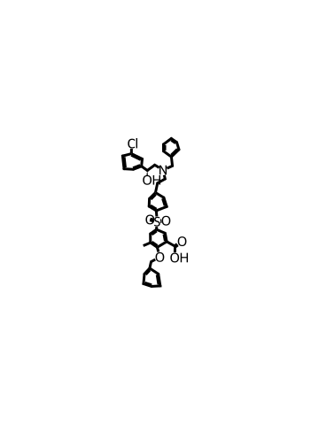 Cc1cc(S(=O)(=O)c2ccc(CCN(Cc3ccccc3)C[C@H](O)c3cccc(Cl)c3)cc2)cc(C(=O)O)c1OCc1ccccc1